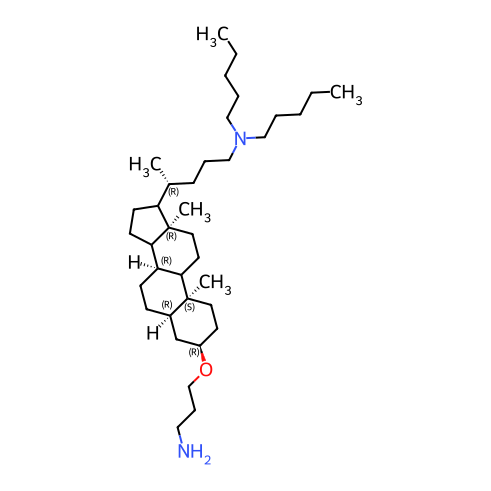 CCCCCN(CCCCC)CCC[C@@H](C)C1CCC2[C@@H]3CC[C@@H]4C[C@H](OCCCN)CC[C@]4(C)C3CC[C@@]21C